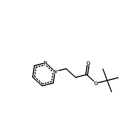 CC(C)(C)OC(=O)CC[n+]1ccccn1